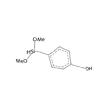 CO[SiH](OC)c1ccc(O)cc1